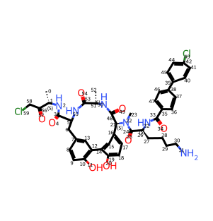 C[C@H](NC(=O)C1Cc2ccc(O)c(c2)-c2cc(ccc2O)[C@H](N(C)C(=O)[C@H](CCCCN)NC(=O)c2ccc(-c3ccc(Cl)cc3)cc2)C(=O)N[C@@H](C)C(=O)N1)C(=O)CCl